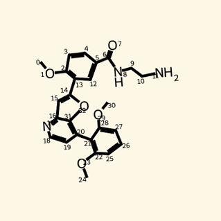 COc1ccc(C(=O)NCCN)cc1-c1cc2nccc(-c3c(OC)cccc3OC)c2o1